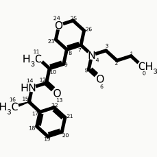 CCCCN(C=O)C1=C(/C=C(\C)C(=O)N[C@H](C)c2ccccc2)COCC1